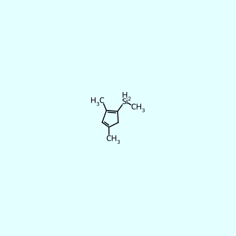 C[SiH2]C1=C(C)C=C(C)C1